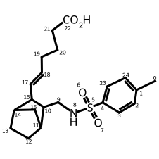 Cc1ccc(S(=O)(=O)NCC2C3CCC(C3)C2/C=C/CCCC(=O)O)cc1